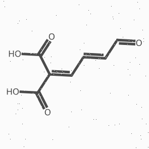 O=CC=CC=C(C(=O)O)C(=O)O